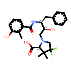 Cc1c(O)cccc1C(=O)N[C@@H](Cc1ccccc1)[C@@H](O)CN1CC(F)(F)C(C)(C)[C@H]1C(=O)O